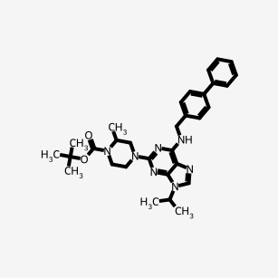 CC1CN(c2nc(NCc3ccc(-c4ccccc4)cc3)c3ncn(C(C)C)c3n2)CCN1C(=O)OC(C)(C)C